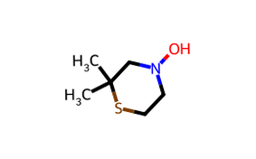 CC1(C)CN(O)CCS1